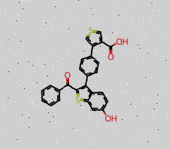 O=C(O)c1cscc1-c1ccc(-c2c(C(=O)c3ccccc3)sc3cc(O)ccc23)cc1